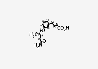 C[C@@H](CCC(N)=O)COc1cccc(CCCC(=O)O)c1